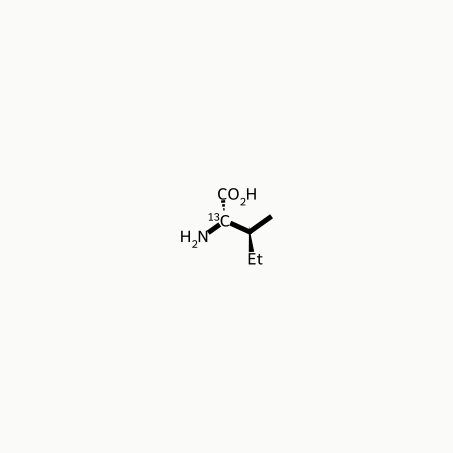 CC[C@H](C)[13C@H](N)C(=O)O